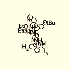 C=CCN(CC(=O)NC(Cc1ccc(OC(C)(C)C)cc1)C(=O)N(Cc1cccc2cccnc12)C(C)C(OCC)OCC)NC(=O)N[C@@H](C)c1ccccc1